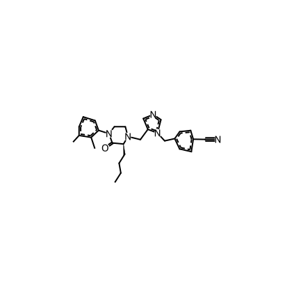 CCCC[C@H]1C(=O)N(c2cccc(C)c2C)CCN1Cc1cncn1Cc1ccc(C#N)cc1